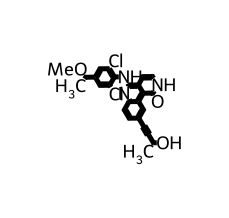 CO[C@H](C)c1cc(Cl)c(Nc2nc3ccc(C#C[C@@H](C)O)cc3c3c(=O)[nH]ccc23)c(Cl)c1